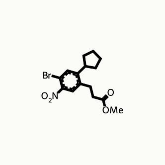 COC(=O)CCc1cc([N+](=O)[O-])c(Br)cc1C1CCCC1